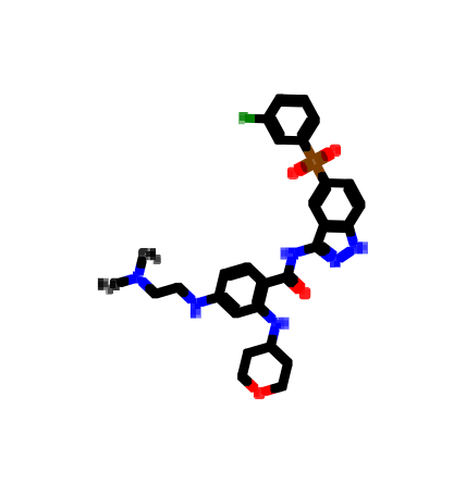 CN(C)CCNc1ccc(C(=O)Nc2n[nH]c3ccc(S(=O)(=O)c4cccc(F)c4)cc23)c(NC2CCOCC2)c1